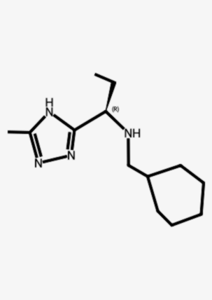 CC[C@@H](NCC1CCCCC1)c1nnc(C)[nH]1